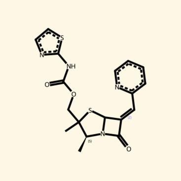 C[C@@H]1N2C(=O)/C(=C/c3ccccn3)C2SC1(C)COC(=O)Nc1nccs1